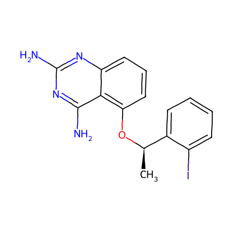 C[C@@H](Oc1cccc2nc(N)nc(N)c12)c1ccccc1I